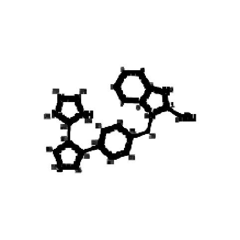 CCCCc1nc2ccccc2n1Cc1ccc(-c2cscc2-c2nnn[nH]2)cc1